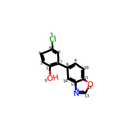 Oc1ccc(Cl)cc1-c1ccc2ocnc2c1